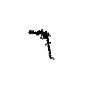 CCCOCCOCCOCCCNC(=O)CCCOc1cc(C)c(S(=O)(=O)N[C@@H](CCC(=O)c2ccc3c(cnn3CCCNc3ncc[nH]3)c2)C(=O)O)c(C)c1